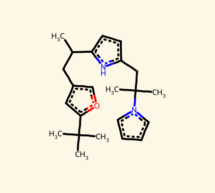 CC(Cc1coc(C(C)(C)C)c1)c1ccc(CC(C)(C)n2cccc2)[nH]1